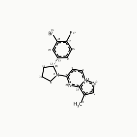 Cc1cnn2ccc(N3CCC[C@@H]3c3ccc(F)c(Br)c3)nc12